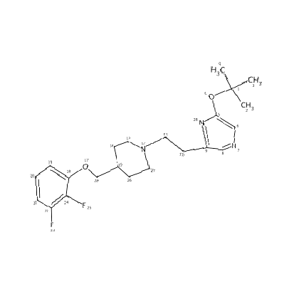 CC(C)(C)Oc1cncc(CCN2CCC(COc3cccc(F)c3F)CC2)n1